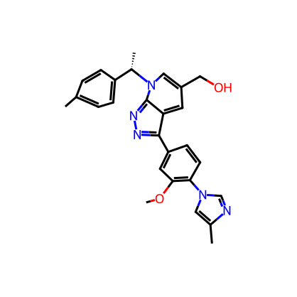 COc1cc(-c2nnc3n([C@@H](C)c4ccc(C)cc4)cc(CO)cc2-3)ccc1-n1cnc(C)c1